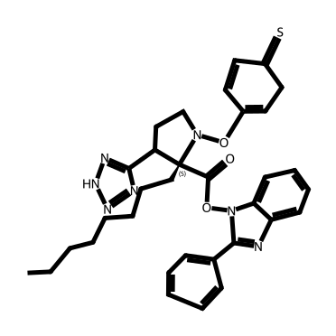 CCCCCCCC[C@@]1(C(=O)On2c(-c3ccccc3)nc3ccccc32)C(c2nn[nH]n2)CCN1OC1=CCC(=S)C=C1